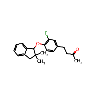 CC(=O)CCc1ccc(OC2c3ccccc3CC2(C)C)c(F)c1